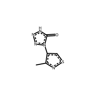 Cc1nscc1-n1nn[nH]c1=O